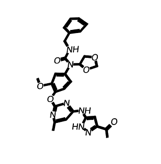 COc1cc(N(C(=O)NCc2ccccc2)C2COCO2)ccc1Oc1nc(C)cc(Nc2cc(C(C)=O)n[nH]2)n1